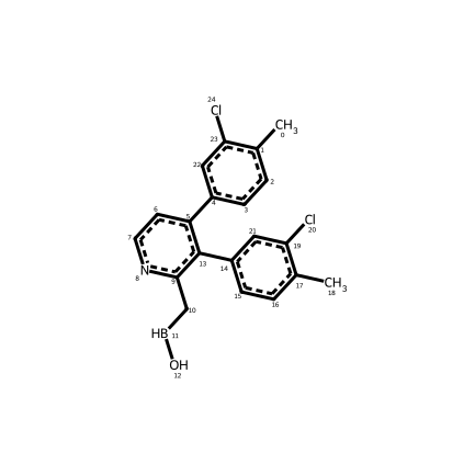 Cc1ccc(-c2ccnc(CBO)c2-c2ccc(C)c(Cl)c2)cc1Cl